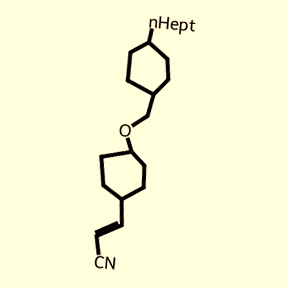 CCCCCCCC1CCC(COC2CCC(C=CC#N)CC2)CC1